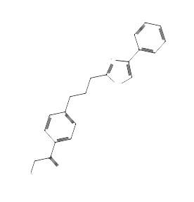 O=C(CCl)c1ccc(CCCc2nc(-c3ccccc3)co2)cc1